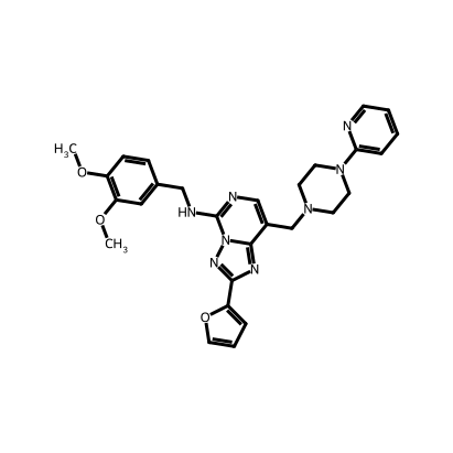 COc1ccc(CNc2ncc(CN3CCN(c4ccccn4)CC3)c3nc(-c4ccco4)nn23)cc1OC